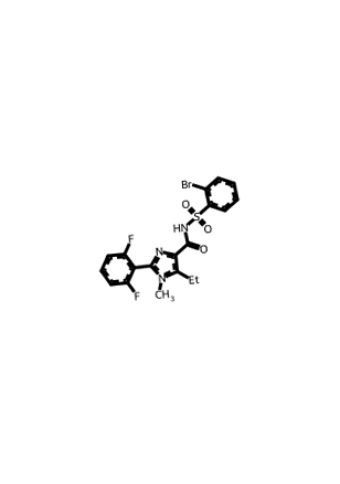 CCc1c(C(=O)NS(=O)(=O)c2ccccc2Br)nc(-c2c(F)cccc2F)n1C